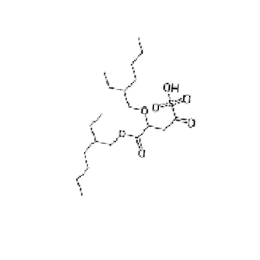 CCCCC(CC)COC(=O)C(CC(=O)S(=O)(=O)O)OCC(CC)CCCC